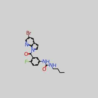 CCCCNC(=O)Nc1ccc(F)c(C(=O)n2ccc3cc(Br)cnc32)c1